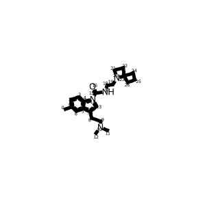 Cc1ccc2c(c1)c(CCN(C)C)cn2C(=O)NCCN1CCC12CCC2